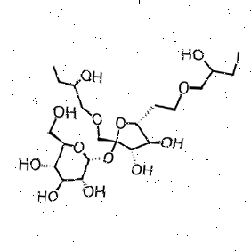 CCC(O)COC[C@@]1(O[C@H]2O[C@H](CO)[C@@H](O)[C@H](O)[C@H]2O)O[C@H](CCOCC(O)CI)[C@@H](O)[C@@H]1O